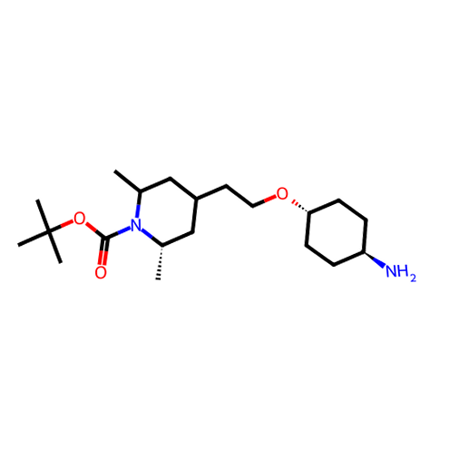 CC1CC(CCO[C@H]2CC[C@H](N)CC2)C[C@H](C)N1C(=O)OC(C)(C)C